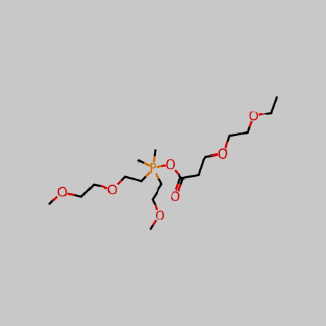 CCOCCOCCC(=O)OP(C)(C)(CCOC)CCOCCOC